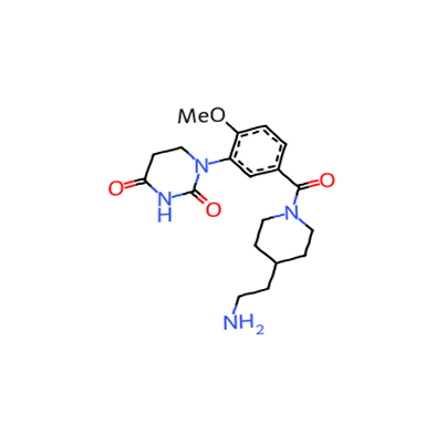 COc1ccc(C(=O)N2CCC(CCN)CC2)cc1N1CCC(=O)NC1=O